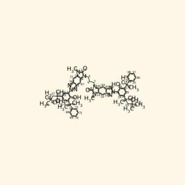 Cn1c(=O)n(CCCn2c(=O)n(C)c3cc4nn(-c5cc(C(C)(C)CC(C)(C)C)cc(C(C)(C)c6ccccc6)c5O)nc4cc32)c2cc3nn(-c4cc(C(C)(C)CC(C)(C)C)cc(C(C)(C)c5ccccc5)c4O)nc3cc21